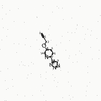 C#CCOc1ccc(-n2cnnn2)nc1